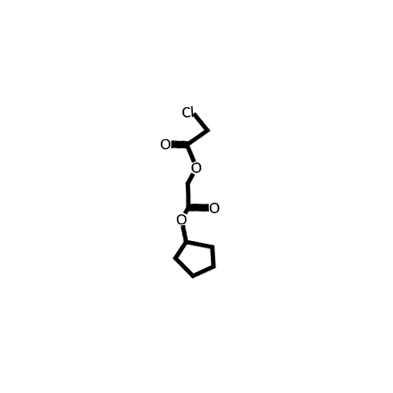 O=C(CCl)OCC(=O)OC1CCCC1